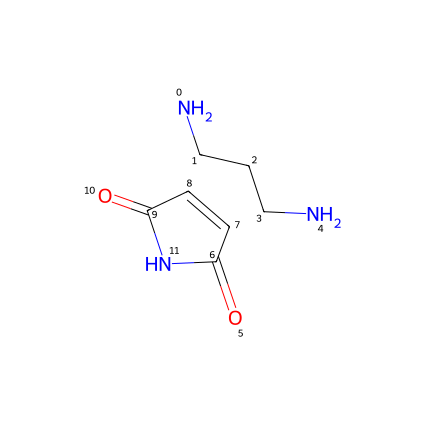 NCCCN.O=C1C=CC(=O)N1